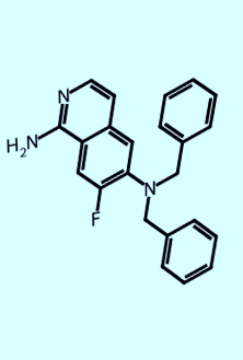 Nc1nccc2cc(N(Cc3ccccc3)Cc3ccccc3)c(F)cc12